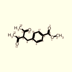 COC(=O)c1ccc(CC(C(C)=O)C(C)=O)cc1